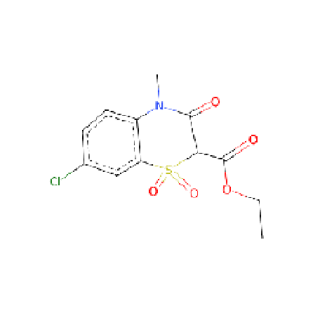 CCOC(=O)C1C(=O)N(C)c2ccc(Cl)cc2S1(=O)=O